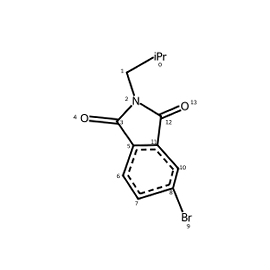 CC(C)CN1C(=O)c2ccc(Br)cc2C1=O